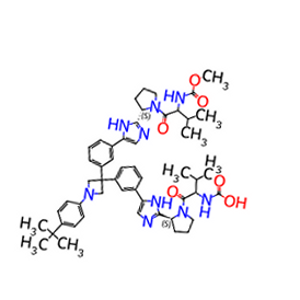 COC(=O)NC(C(=O)N1CCC[C@H]1c1ncc(-c2cccc(C3(c4cccc(-c5cnc([C@@H]6CCCN6C(=O)C(NC(=O)O)C(C)C)[nH]5)c4)CN(c4ccc(C(C)(C)C)cc4)C3)c2)[nH]1)C(C)C